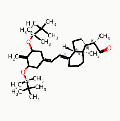 C=C1C(O[Si](C)(C)C(C)(C)C)CC(=C/C=C2\CCC[C@]3(C)[C@@H]([C@H](C)C=O)CC[C@@H]23)CC1O[Si](C)(C)C(C)(C)C